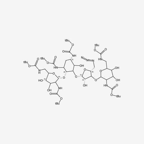 CC(C)(C)OC(=O)NCC1OC(OC2[C@@H](CN=[N+]=[N-])O[C@@H](OC3C(O)[C@@H](NC(=O)OC(C)(C)C)CC(NC(=O)OC(C)(C)C)[C@H]3O[C@H]3OC(CNC(=O)OC(C)(C)C)[C@@H](O)C(O)C3NC(=O)OC(C)(C)C)[C@H]2O)C(NC(=O)OC(C)(C)C)C(O)C1O